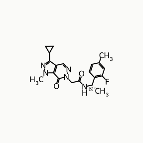 Cc1ccc([C@H](C)NC(=O)Cn2ncc3c(C4CC4)nn(C)c3c2=O)c(F)c1